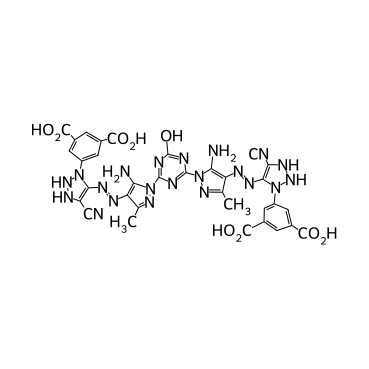 [C-]#[N+]C1=C(N=Nc2c(C)nn(-c3nc(O)nc(-n4nc(C)c(N=NC5=C(C#N)NNN5c5cc(C(=O)O)cc(C(=O)O)c5)c4N)n3)c2N)N(c2cc(C(=O)O)cc(C(=O)O)c2)NN1